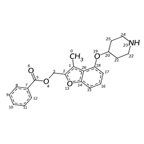 Cc1c(COC(=O)c2ccccc2)oc2cccc(OC3CCNCC3)c12